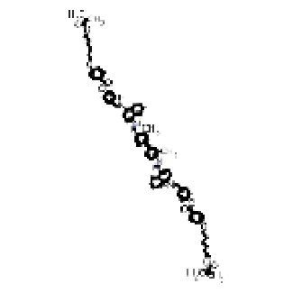 C=C(C)C(=O)OCCCCCCOc1ccc(C(=O)Oc2ccc(CNc3ccc(/N=N/c4ccc(-c5ccc(/N=N/c6ccc(NCc7ccc(OC(=O)c8ccc(OCCCCCCOC(=O)C(=C)C)cc8)cc7)c7ccccc67)c(C)c5)cc4C)c4ccccc34)cc2)cc1